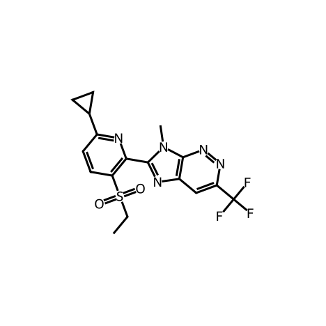 CCS(=O)(=O)c1ccc(C2CC2)nc1-c1nc2cc(C(F)(F)F)nnc2n1C